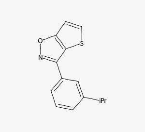 CC(C)c1cccc(-c2noc3ccsc23)c1